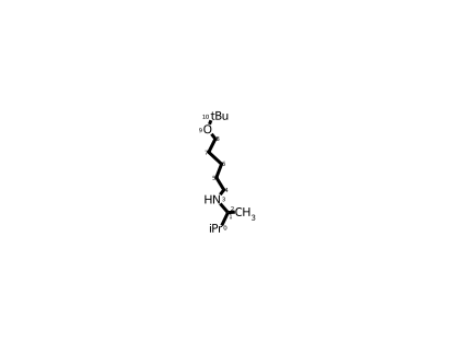 CC(C)C(C)NCCCCCOC(C)(C)C